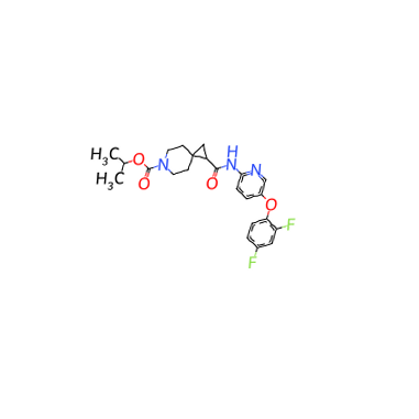 CC(C)OC(=O)N1CCC2(CC1)CC2C(=O)Nc1ccc(Oc2ccc(F)cc2F)cn1